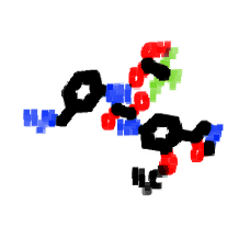 COc1cc(NC(=O)C(=O)Nc2cccc(CN)c2)ccc1-c1cnco1.O=C(O)C(F)(F)F